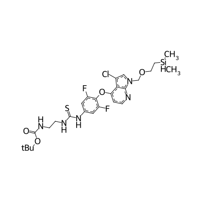 C[SiH](C)CCOCn1cc(Cl)c2c(Oc3c(F)cc(NC(=S)NCCNC(=O)OC(C)(C)C)cc3F)ccnc21